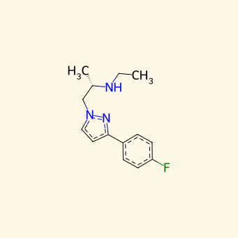 CCN[C@@H](C)Cn1ccc(-c2ccc(F)cc2)n1